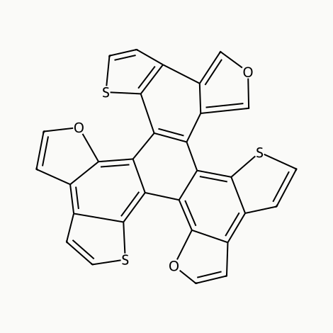 c1cc2c3ccsc3c3c(c2o1)c1c2sccc2c2cocc2c1c1c2sccc2c2ccoc2c13